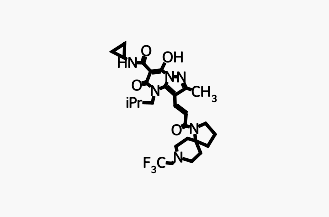 Cc1nn2c(O)c(C(=O)NC3CC3)c(=O)n(CC(C)C)c2c1C=CC(=O)N1CCCC12CCN(CC(F)(F)F)CC2